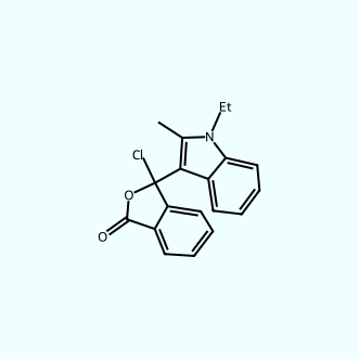 CCn1c(C)c(C2(Cl)OC(=O)c3ccccc32)c2ccccc21